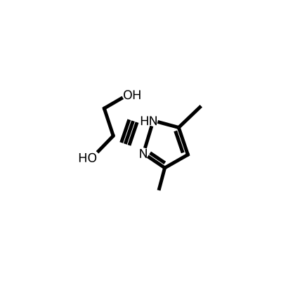 C#C.Cc1cc(C)[nH]n1.OCCO